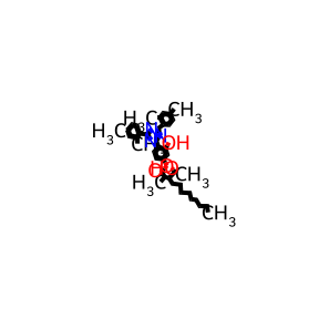 CCCCCCCCCC(C(C)O)C(C)C(=O)Oc1ccc(-c2nc(-c3ccc(C)cc3C)nc(-c3ccc(C)cc3C)n2)c(O)c1